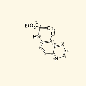 CCOC(=O)C(=O)Nc1ccc2ncccc2c1Cl